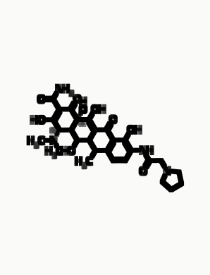 CC1c2ccc(NC(=O)CN3CCCC3)c(O)c2C(=O)C2=C(O)[C@]3(O)C(=O)C(C(N)=O)=C(O)[C@@H](N(C)C)C3C(O)C21